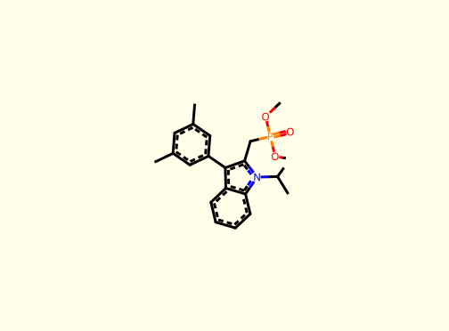 COP(=O)(Cc1c(-c2cc(C)cc(C)c2)c2ccccc2n1C(C)C)OC